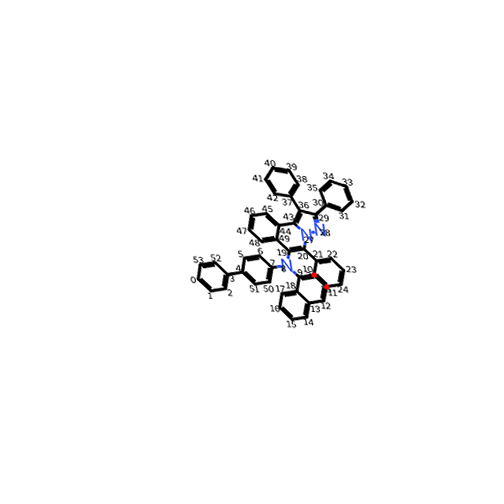 c1ccc(-c2ccc(N(c3cccc4ccccc34)c3c(-c4ccccc4)n4nc(-c5ccccc5)c(-c5ccccc5)c4c4ccccc34)cc2)cc1